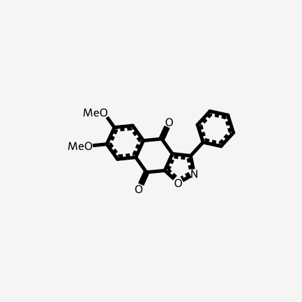 COc1cc2c(cc1OC)C(=O)c1c(-c3ccccc3)noc1C2=O